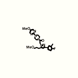 COCCCc1cc(-c2ccc(F)c(C)c2)nn1CC(=O)N1CCN(c2ncc(OC)cn2)CC1